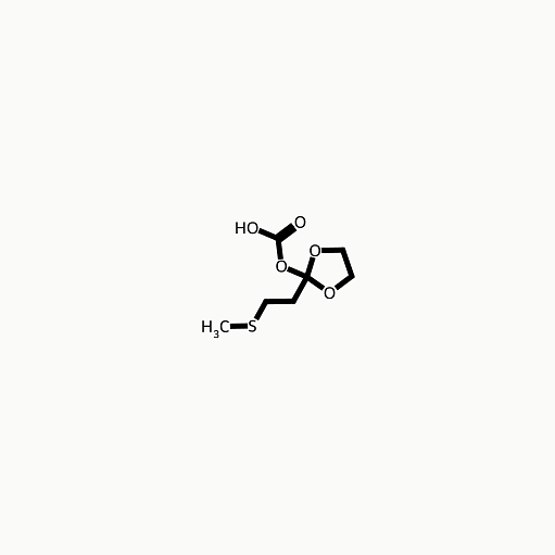 CSCCC1(OC(=O)O)OCCO1